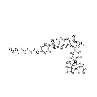 CCCCCCCOc1ccc(C(=O)Oc2ccc(C[C@H](NC(=O)c3ccc(NC(=O)C4(c5ccccc5)CCC4)cc3)C(C)=O)cc2)cc1